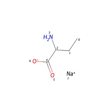 CCC(N)C(=O)[O-].[Na+]